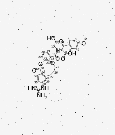 COc1ccc(CC(C(=O)O)N(CC(=O)O)C(=O)c2cccc3c2OCCCc2cc(NC(=N)N)ccc2C(=O)O3)cc1